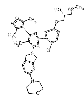 CNC[C@@H](O)COc1ccc(Cl)c(-c2nc(-c3c(C)noc3C)c(C)c(N3Cc4ccc(N5CCOCC5)nc4C3)n2)c1